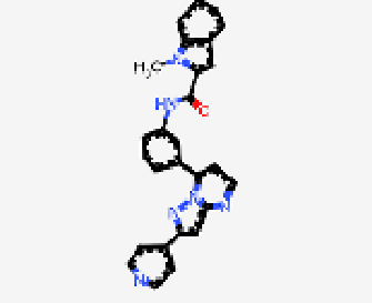 Cn1c(C(=O)Nc2cccc(-c3ccnc4cc(-c5ccncc5)nn34)c2)cc2ccccc21